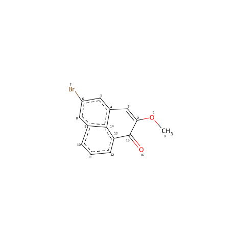 COC1=Cc2cc(Br)cc3cccc(c23)C1=O